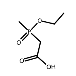 CCOP(C)(=O)CC(=O)O